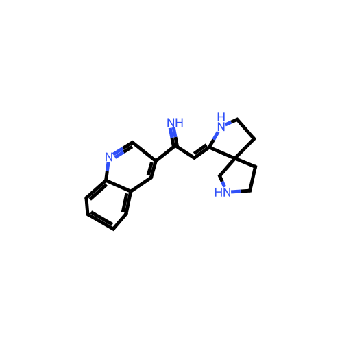 N=C(/C=C1\NCCC12CCNC2)c1cnc2ccccc2c1